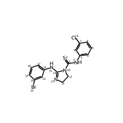 S=C(Nc1cccc(Cl)c1)N1CCN=C1Nc1cccc(Br)c1